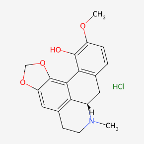 COc1ccc2c(c1O)-c1c3c(cc4c1[C@H](C2)N(C)CC4)OCO3.Cl